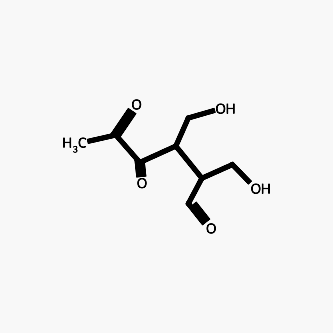 CC(=O)C(=O)C(CO)C(C=O)CO